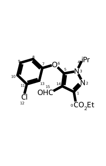 CCOC(=O)c1nn(C(C)C)c(Oc2cccc(Cl)c2)c1C=O